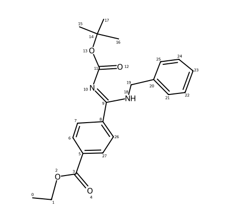 CCOC(=O)c1ccc(/C(=N/C(=O)OC(C)(C)C)NCc2ccccc2)cc1